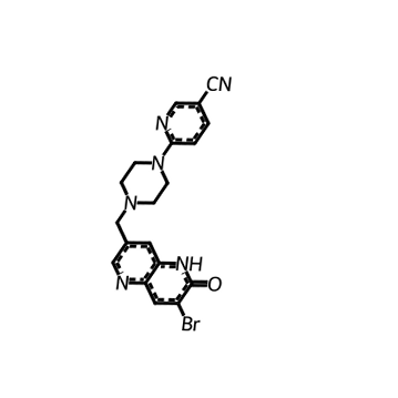 N#Cc1ccc(N2CCN(Cc3cnc4cc(Br)c(=O)[nH]c4c3)CC2)nc1